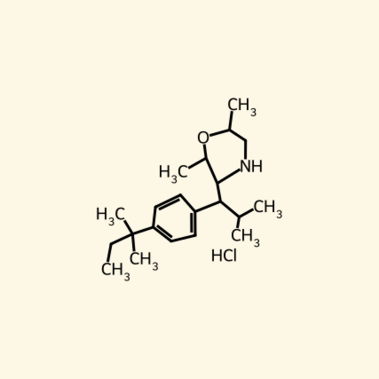 CCC(C)(C)c1ccc(C(C(C)C)C2NCC(C)OC2C)cc1.Cl